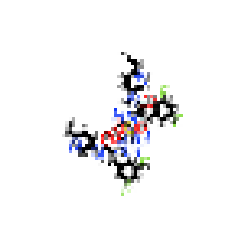 CCc1ccc(N(C)C(=O)[C@H](Cc2cc(F)cc(F)c2)NC(=O)NS(=O)(=O)N[C@@H](Cc2cc(F)cc(F)c2)C(=O)N(C)c2ccc(CC)nc2)cn1